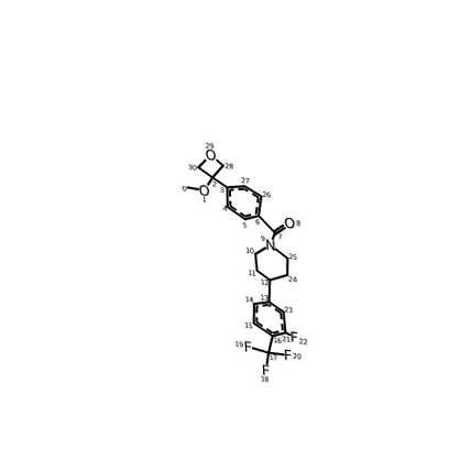 COC1(c2ccc(C(=O)N3CCC(c4ccc(C(F)(F)F)c(F)c4)CC3)cc2)COC1